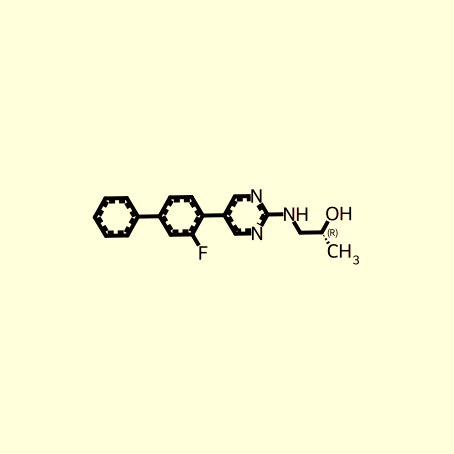 C[C@@H](O)CNc1ncc(-c2ccc(-c3ccccc3)cc2F)cn1